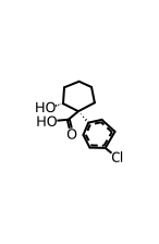 O=C(O)[C@]1(c2ccc(Cl)cc2)CCCC[C@H]1O